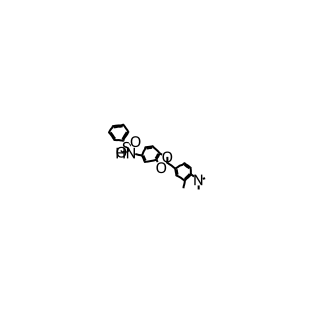 Cc1cc(C2Oc3ccc(NS(=O)(=O)c4ccccc4)cc3O2)ccc1N(C)C